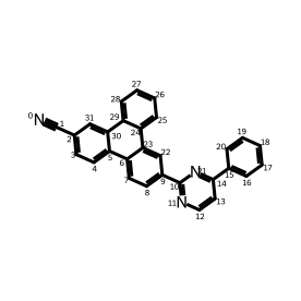 N#Cc1ccc2c3ccc(-c4nccc(-c5ccccc5)n4)cc3c3ccccc3c2c1